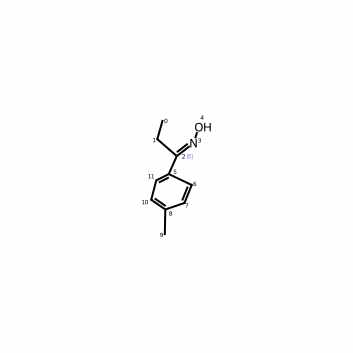 CC/C(=N\O)c1ccc(C)cc1